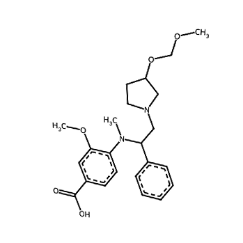 COCOC1CCN(CC(c2ccccc2)N(C)c2ccc(C(=O)O)cc2OC)C1